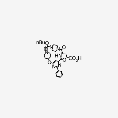 CCCCOC(=O)N1CCN(C(=O)[C@H](CCC(=O)O)NC(=O)c2cc(OC3CCNCC3)nc(-c3ccccc3)n2)CC1